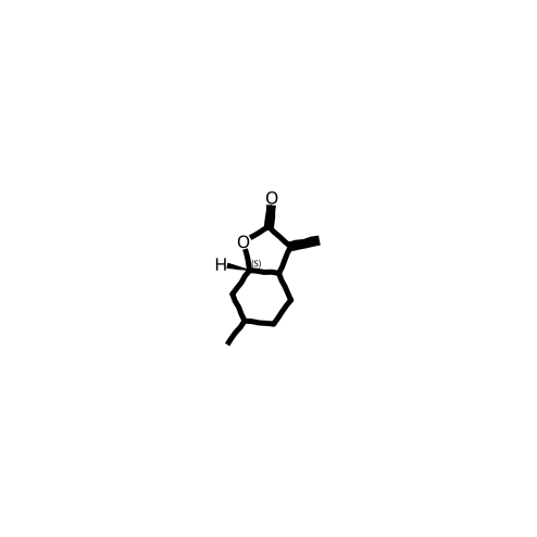 C=C1C(=O)O[C@H]2CC(C)CCC12